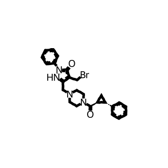 O=C([C@H]1C[C@@H]1c1ccccc1)N1CCN(Cc2[nH]n(-c3ccccc3)c(=O)c2CBr)CC1